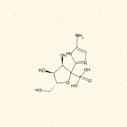 Nc1cnc(C2(P(=O)(O)O)O[C@H](CO)[C@@H](O)[C@H]2O)[nH]1